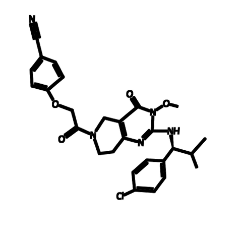 COn1c(N[C@H](c2ccc(Cl)cc2)C(C)C)nc2c(c1=O)CN(C(=O)COc1ccc(C#N)cc1)CC2